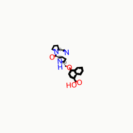 N#C[C@@H]1CCCN1C(=O)[C@H]1CC[C@H](COc2ccc(C(=O)O)c3ccccc23)N1